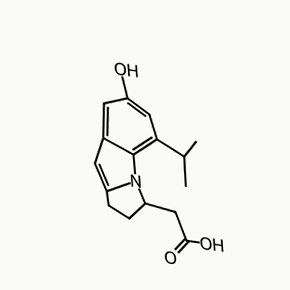 CC(C)c1cc(O)cc2cc3n(c12)C(CC(=O)O)CC3